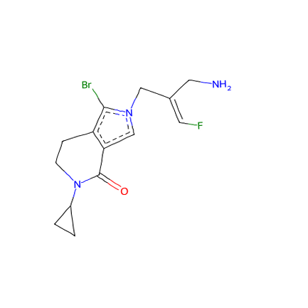 NCC(=CF)Cn1cc2c(c1Br)CCN(C1CC1)C2=O